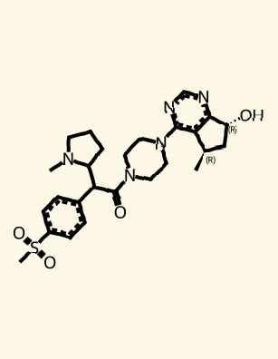 C[C@@H]1C[C@@H](O)c2ncnc(N3CCN(C(=O)C(c4ccc(S(C)(=O)=O)cc4)C4CCCN4C)CC3)c21